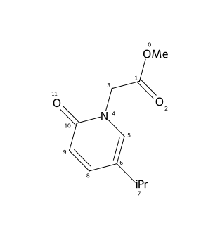 COC(=O)Cn1cc(C(C)C)ccc1=O